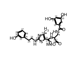 COC(=O)C(CNC(=O)c1cc(O)cc(O)c1)NC(=O)c1sc(NCCc2cccc(O)c2)nc1C